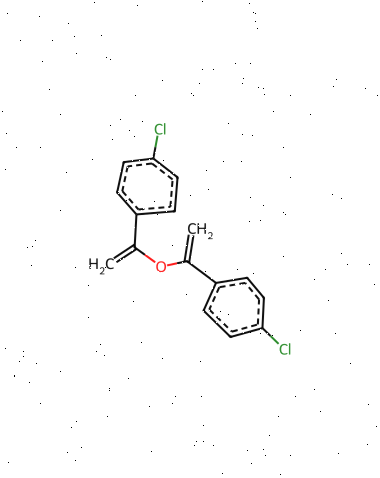 C=C(OC(=C)c1ccc(Cl)cc1)c1ccc(Cl)cc1